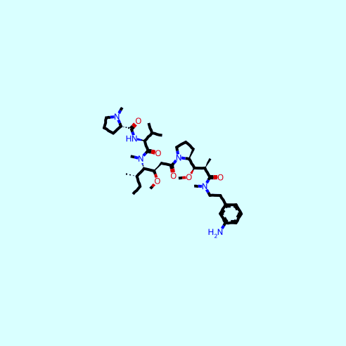 CC[C@H](C)[C@@H]([C@@H](CC(=O)N1CCC[C@H]1[C@H](OC)[C@@H](C)C(=O)N(C)CCc1cccc(N)c1)OC)N(C)C(=O)[C@@H](NC(=O)[C@@H]1CCCN1C)C(C)C